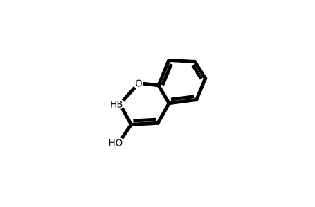 OC1=Cc2ccccc2OB1